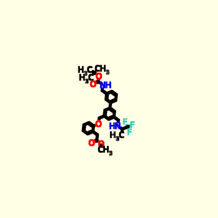 COC(=O)Cc1ccccc1OCc1cc(CNC(C)C(F)(F)F)cc(-c2cccc(CNC(=O)OC(C)(C)C)c2)c1